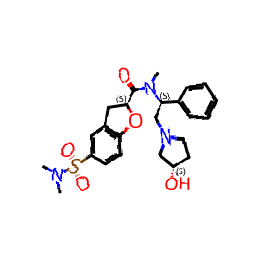 CN(C(=O)[C@@H]1Cc2cc(S(=O)(=O)N(C)C)ccc2O1)[C@H](CN1CC[C@H](O)C1)c1ccccc1